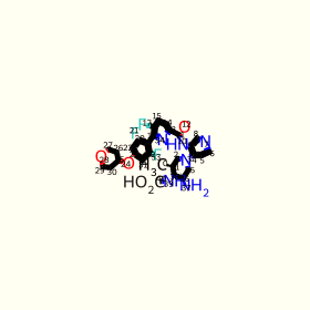 C[C@H]1CN(c2ccncc2NC(=O)c2ccc(F)c(-c3c(F)cc(OC4CCOCC4)cc3F)n2)C[C@@H](N)[C@H]1NC(=O)O